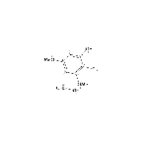 COc1nc(O)c(F)c(OC)n1.O=CO